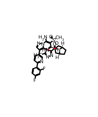 Cc1nnc(C(=O)N2[C@@H]3CC[C@H]2C[C@@H](c2nc4c(-c5ccc(-c6ccc(F)cc6F)nc5)cnn4c(N)c2S(C)(=O)=O)C3)[nH]1